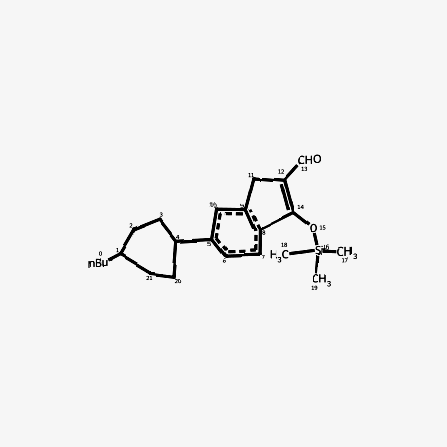 CCCCC1CCC(c2ccc3c(c2)CC(C=O)=C3O[Si](C)(C)C)CC1